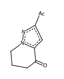 CC(=O)c1cc2n(n1)CCCC2=O